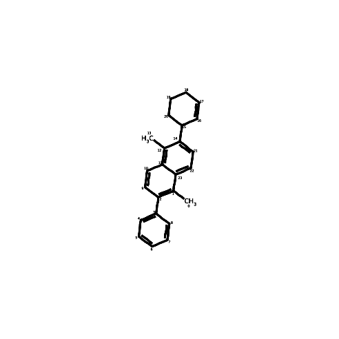 Cc1c(-c2ccccc2)ccc2c(C)c(C3C=CCCC3)ccc12